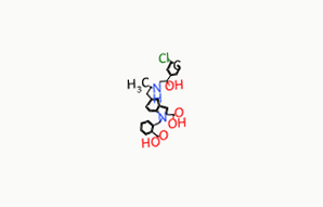 CC(Cc1ccc2c(c1)cc(C(=O)O)n2Cc1ccccc1C(=O)O)NCC(O)c1cccc(Cl)c1